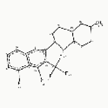 CC1CCC2CC(c3cc4cccc(F)c4c(F)c3C(F)(F)F)CCC2C1